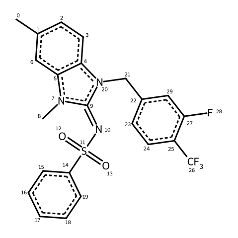 Cc1ccc2c(c1)n(C)/c(=N\S(=O)(=O)c1ccccc1)n2Cc1ccc(C(F)(F)F)c(F)c1